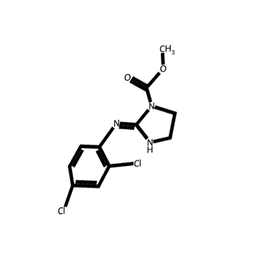 COC(=O)N1CCN/C1=N\c1ccc(Cl)cc1Cl